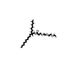 CCCCCCCCCCC(C)(CCCCCCCC)COC(=O)CCOCCOCCOCC